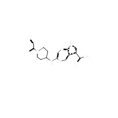 C=CC(=O)N1CCC(NC2=CN=c3[nH]cc(C(N)=O)c3=CN2)CC1